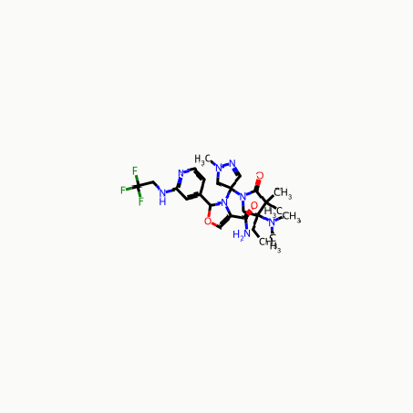 CCC1(N(C)C)CN(C2(N3C(C(N)=O)=COC3c3ccnc(NCC(F)(F)F)c3)C=NN(C)C2)C(=O)C1(C)C